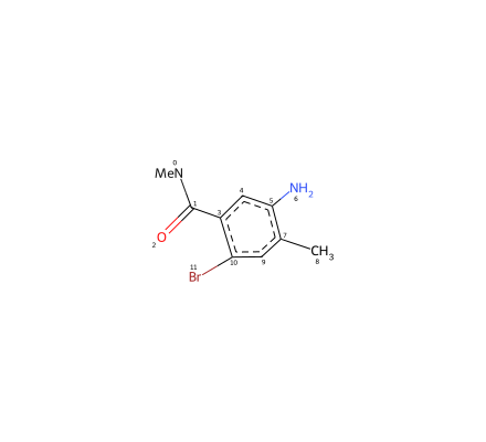 CNC(=O)c1cc(N)c(C)cc1Br